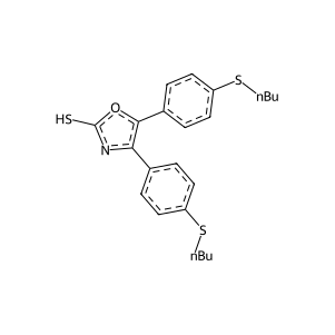 CCCCSc1ccc(-c2nc(S)oc2-c2ccc(SCCCC)cc2)cc1